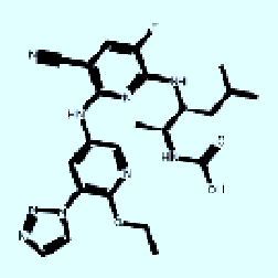 CCOc1ncc(Nc2nc(N[C@@H](CC(C)C)[C@H](C)NC(=O)O)c(F)cc2C#N)cc1-n1ccnn1